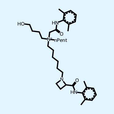 CCCCC[N+](CCCCO)(CCCCCCN1CCC1C(=O)Nc1c(C)cccc1C)CC(=O)Nc1c(C)cccc1C